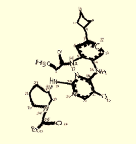 C=CC(=O)Nc1cc(C2CCC2)ccc1Nc1nc(N[C@H]2CCCN(C(=O)CC)C2)ncc1Cl